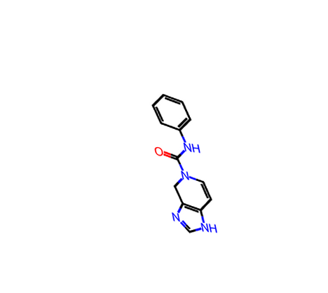 O=C(Nc1ccccc1)N1C=Cc2[nH]cnc2C1